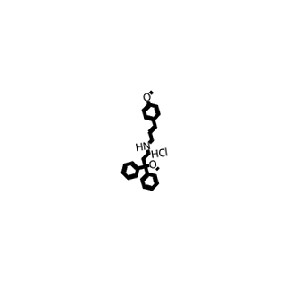 COc1ccc(C=CCNCCC(OC)(c2ccccc2)c2ccccc2)cc1.Cl